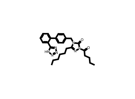 CCCCCCc1nn(C(=O)CCCC)c(=O)n1Cc1ccc(-c2ccccc2-c2nnn[nH]2)cc1